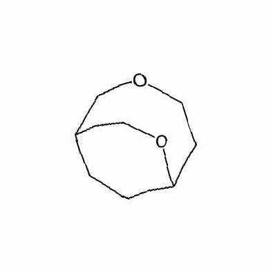 C1CC2CCC(CO1)CO2